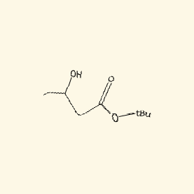 CC(O)CC(=O)OC(C)(C)C